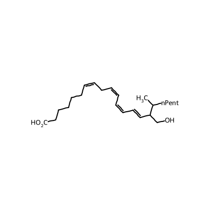 CCCCCC(C)C(/C=C/C=C\C=C/C/C=C\CCCCCC(=O)O)CO